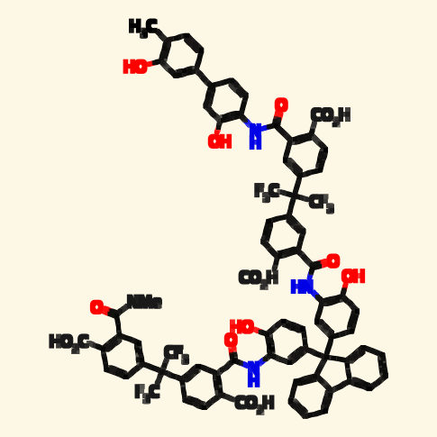 CNC(=O)c1cc(C(c2ccc(C(=O)O)c(C(=O)Nc3cc(C4(c5ccc(O)c(NC(=O)c6cc(C(c7ccc(C(=O)O)c(C(=O)Nc8ccc(-c9ccc(C)c(O)c9)cc8O)c7)(C(F)(F)F)C(F)(F)F)ccc6C(=O)O)c5)c5ccccc5-c5ccccc54)ccc3O)c2)(C(F)(F)F)C(F)(F)F)ccc1C(=O)O